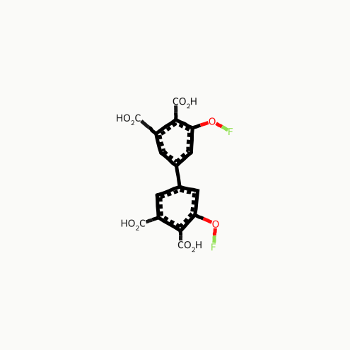 O=C(O)c1cc(-c2cc(OF)c(C(=O)O)c(C(=O)O)c2)cc(OF)c1C(=O)O